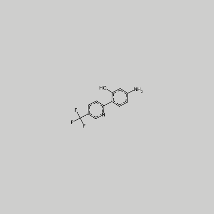 Nc1ccc(-c2ccc(C(F)(F)F)cn2)c(O)c1